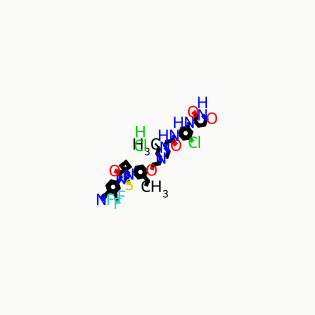 CCc1cc(N2C(=S)N(c3ccc(C#N)c(C(F)(F)F)c3)C(=O)C23CCC3)ccc1OCCN1CCN(CC(=O)Nc2cc(Cl)cc(NC3CCC(=O)NC3=O)c2)[C@H](C)C1.Cl